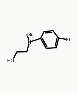 CCCCN(CCO)c1ccc(CC)cc1